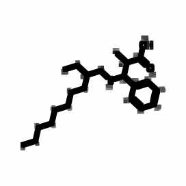 CCCCCCCCC(CC)CSC(c1ccccc1)C(C)C(=O)O